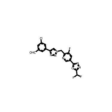 O=Cc1cc(Cl)cc(-c2cn(Cc3ncc(-c4nnc(C(F)F)o4)cc3F)nn2)c1